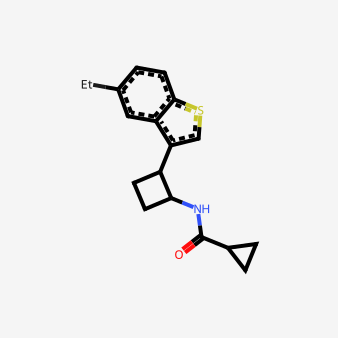 CCc1ccc2scc(C3CCC3NC(=O)C3CC3)c2c1